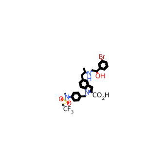 CC(Cc1ccc2c(c1)cc(C(=O)O)n2Cc1ccc(N(C)S(=O)(=O)CC(F)(F)F)cc1)NCC(O)c1cccc(Br)c1